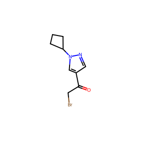 O=C(CBr)c1cnn(C2CCC2)c1